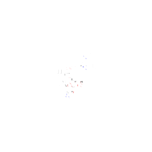 CO[C@]1(C)CCCN(C)[C@H](C2CN(CC3COC3)C2)COC(=O)C(C)(C)C(=O)[C@H](C)[C@H]1O[C@@H]1O[C@H](C)C[C@H](N(C)C)[C@H]1O